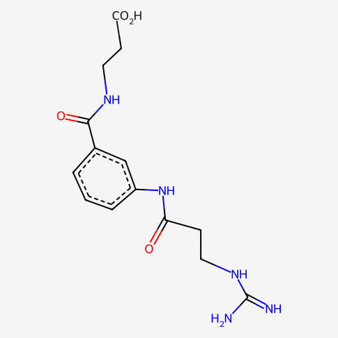 N=C(N)NCCC(=O)Nc1cccc(C(=O)NCCC(=O)O)c1